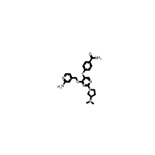 CN(C)C1CCN(c2ncc(Sc3ccc(C(N)=O)cc3)c(OCc3ccnc(N)c3)n2)C1